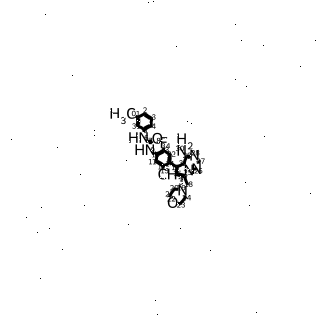 Cc1cccc(NC(=O)Nc2cc(C)c(C3C=C(CN4CCOCC4)N4N=CN=C(N)C34)cc2F)c1